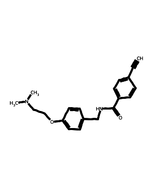 C#Cc1ccc(C(=O)NCc2ccc(OCCN(C)C)cc2)cc1